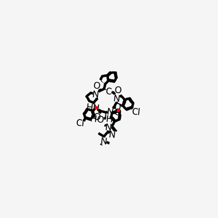 CC(c1ncc(-c2ccc(Oc3cc(Cl)ccc3CN3C(=O)C[C@@H]([C@@H]4CCc5ccccc54)C(=O)N4CCC[C@@](Cc5ccc(Cl)cc5)(C4)NC(=O)[C@H](CO)NC(=O)[C@@H]3C)cc2)n1C)N(C)C